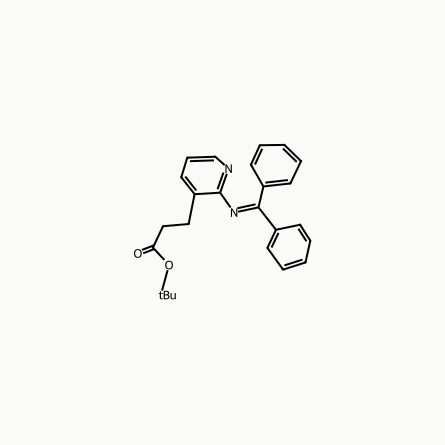 CC(C)(C)OC(=O)CCc1cccnc1N=C(c1ccccc1)c1ccccc1